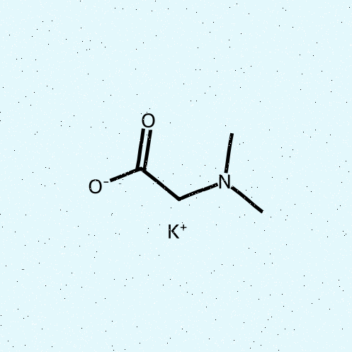 CN(C)CC(=O)[O-].[K+]